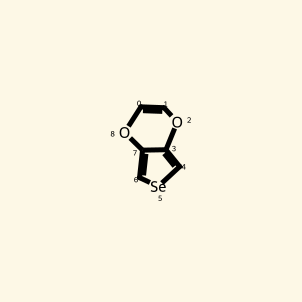 C1=COc2c[se]cc2O1